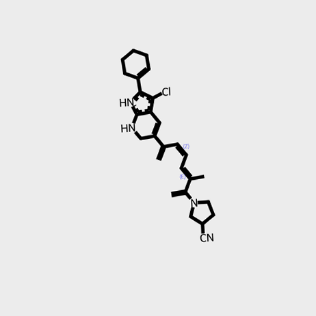 C=C(/C=C\C=C(/C)C(=C)N1CCC(C#N)C1)C1=Cc2c([nH]c(C3=CCCCC3)c2Cl)NC1